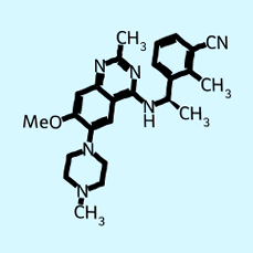 COc1cc2nc(C)nc(N[C@H](C)c3cccc(C#N)c3C)c2cc1N1CCN(C)CC1